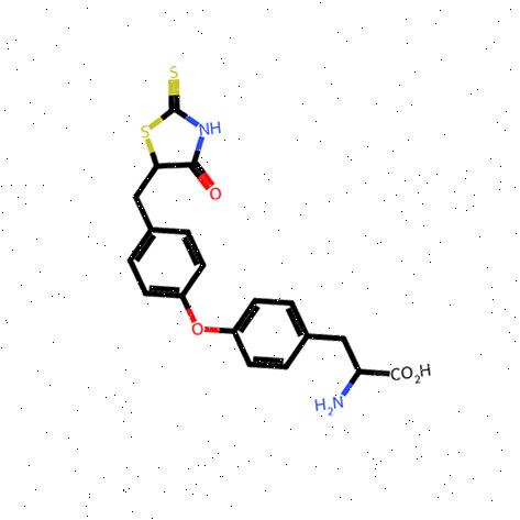 NC(Cc1ccc(Oc2ccc(CC3SC(=S)NC3=O)cc2)cc1)C(=O)O